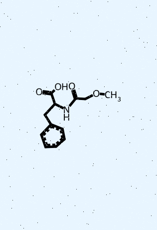 COCC(=O)NC(Cc1ccccc1)C(=O)O